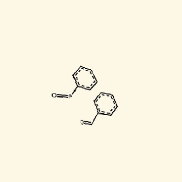 O=Cc1ccccc1.O=Pc1ccccc1